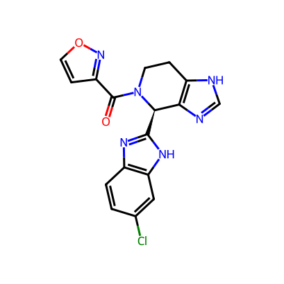 O=C(c1ccon1)N1CCc2[nH]cnc2[C@H]1c1nc2ccc(Cl)cc2[nH]1